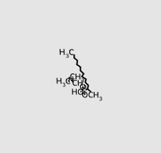 CCCCCCCCCCCCC(CC)S(=O)(=O)O.CN(C)C